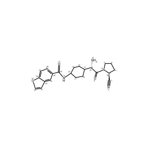 N#C[C@@H]1CCCN1C(=O)[C@@H](N)C1CCC(NC(=O)c2cc3ccoc3cn2)CC1